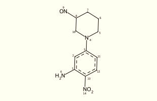 Nc1cc(N2CCCC(N=O)C2)ccc1[N+](=O)[O-]